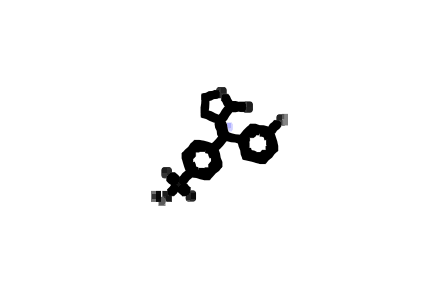 NS(=O)(=O)c1ccc(/C(=C2\CCOC2=O)c2cccc(Cl)c2)cc1